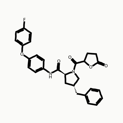 O=C1CCC(C(=O)N2C[C@H](Cc3ccccc3)C[C@H]2C(=O)Nc2ccc(Oc3ccc(F)cc3)cc2)O1